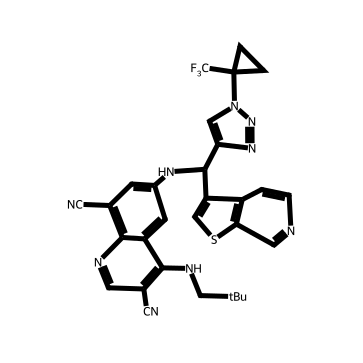 CC(C)(C)CNc1c(C#N)cnc2c(C#N)cc(NC(c3cn(C4(C(F)(F)F)CC4)nn3)c3csc4cnccc34)cc12